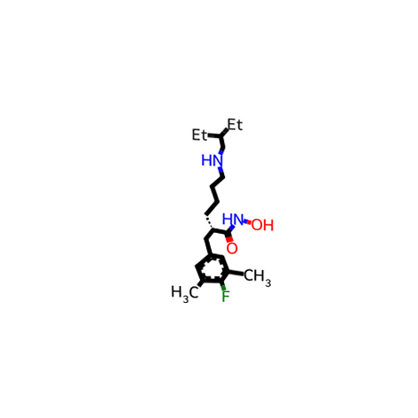 CCC(CC)CNCCCC[C@@H](Cc1cc(C)c(F)c(C)c1)C(=O)NO